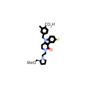 COC[C@@H]1CCCN1CCN1CCc2c(c3cc(F)ccc3n2Cc2ccc(C(=O)O)c(C)c2)C1=O